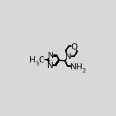 Cc1ncc(C(CN)N2CCOCC2)cn1